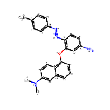 CCN(CC)c1ccc2c(Oc3cc(N)ccc3/N=N/c3ccc([N+](=O)[O-])cc3)cccc2c1